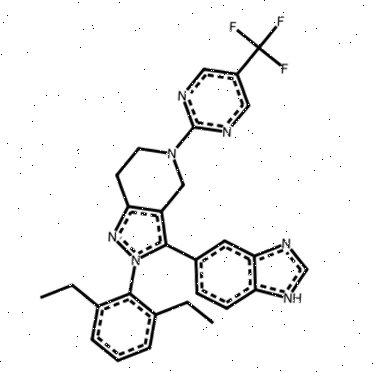 CCc1cccc(CC)c1-n1nc2c(c1-c1ccc3[nH]cnc3c1)CN(c1ncc(C(F)(F)F)cn1)CC2